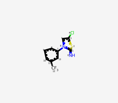 N=c1sc(Cl)cn1-c1cccc(C(F)(F)F)c1